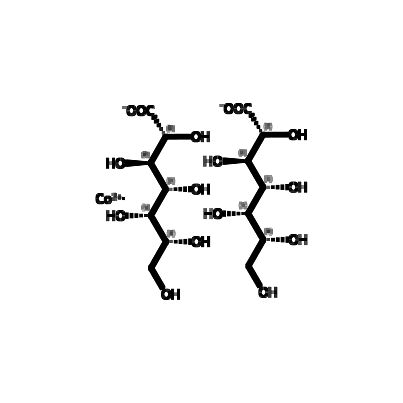 O=C([O-])[C@H](O)[C@H](O)[C@H](O)[C@@H](O)[C@H](O)CO.O=C([O-])[C@H](O)[C@H](O)[C@H](O)[C@@H](O)[C@H](O)CO.[Co+2]